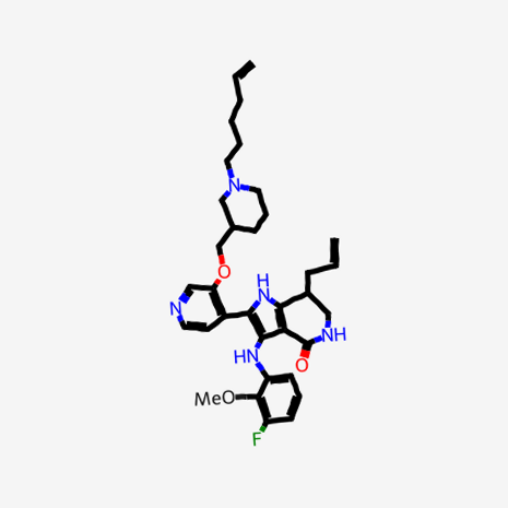 C=CCCCCN1CCCC(COc2cnccc2-c2[nH]c3c(c2Nc2cccc(F)c2OC)C(=O)NCC3CC=C)C1